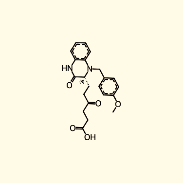 COc1ccc(CN2c3ccccc3NC(=O)[C@H]2CCC(=O)CCC(=O)O)cc1